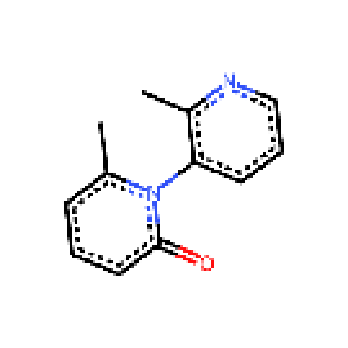 Cc1ncccc1-n1c(C)cccc1=O